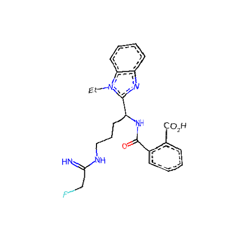 CCn1c(C(CCCNC(=N)CF)NC(=O)c2ccccc2C(=O)O)nc2ccccc21